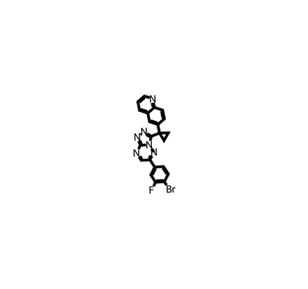 Fc1cc(-c2cnc3nnc(C4(c5ccc6ncccc6c5)CC4)n3n2)ccc1Br